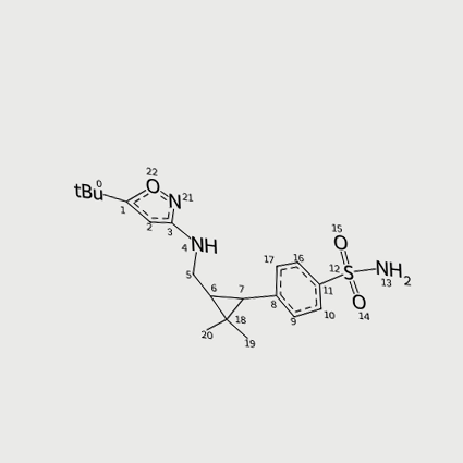 CC(C)(C)c1cc(NCC2C(c3ccc(S(N)(=O)=O)cc3)C2(C)C)no1